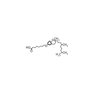 CC(C)CCCC(C)CCCC1(C)CCc2cc(OCCCCCCCC(=O)O)ccc2O1